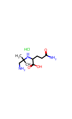 CC(C)(CN)NC(CCC(N)=O)C(=O)O.Cl